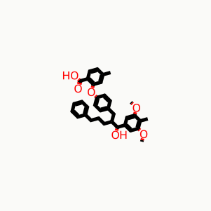 COc1cc(C(O)C(CCCc2ccccc2)Cc2ccc(Oc3cc(C)ccc3C(=O)O)cc2)cc(OC)c1C